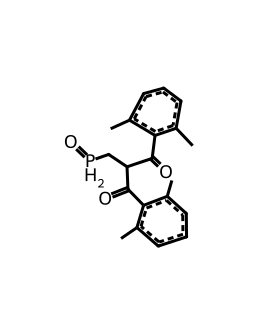 Cc1cccc(C)c1C(=O)C(C[PH2]=O)C(=O)c1c(C)cccc1C